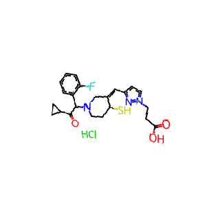 Cl.O=C(O)CCn1ccc(C=C2CN(C(C(=O)C3CC3)c3ccccc3F)CC[C@@H]2S)n1